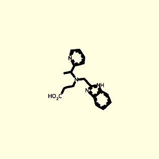 CC(c1ccccn1)N(CCC(=O)O)Cc1nc2ccccc2[nH]1